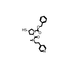 CN(CCc1ccncc1)C(=O)[C@@H]1C[C@H](S)CN1C(=O)OCc1ccccc1